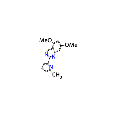 COc1cc(OC)c2cnc(-c3cccc(C)n3)nc2c1